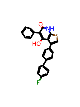 O=c1[nH]c2scc(-c3ccc(-c4ccc(F)cc4)cc3)c2c(O)c1-c1ccccc1